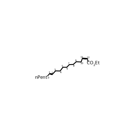 CCCCCC=CCCCCCCCC/C=C\C(=O)OCC